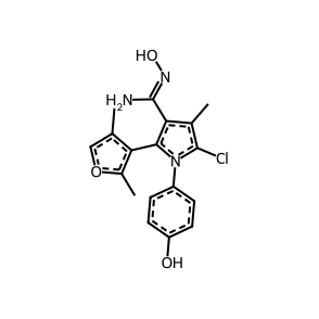 Cc1coc(C)c1-c1c(/C(N)=N/O)c(C)c(Cl)n1-c1ccc(O)cc1